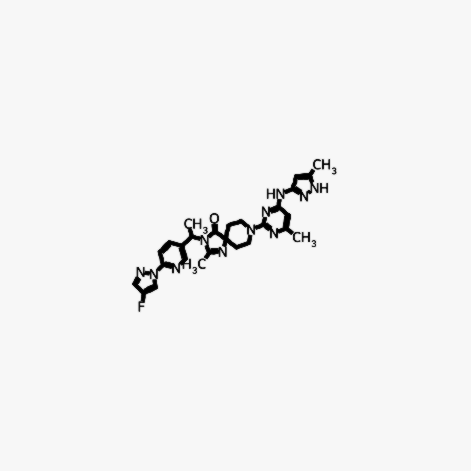 CC1=NC2(CCN(c3nc(C)cc(Nc4cc(C)[nH]n4)n3)CC2)C(=O)N1C(C)c1ccc(-n2cc(F)cn2)nc1